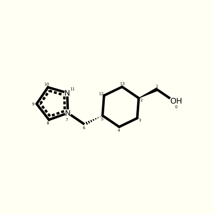 OC[C@H]1CC[C@H](Cn2cccn2)CC1